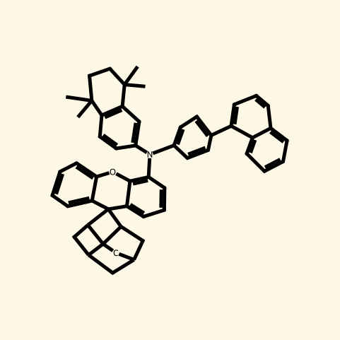 CC1(C)CCC(C)(C)c2cc(N(c3ccc(-c4cccc5ccccc45)cc3)c3cccc4c3Oc3ccccc3C43C4CC5CC6CC3C64C5)ccc21